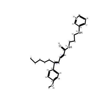 CCCCC/C(=C\C=C\C(=O)NCCCNc1cccnc1)c1ccc(OC)cc1